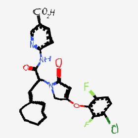 O=C(O)c1ccc(NC(=O)C(CC2CCCCC2)N2CC(Oc3c(F)ccc(Cl)c3F)=CC2=O)nc1